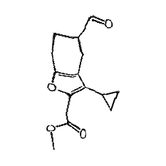 COC(=O)c1oc2c(c1C1CC1)CC(C=O)CC2